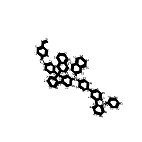 C=Cc1ccc(Oc2ccc(C3(c4ccc5ccccc5c4)c4ccccc4-c4ccc(N(c5ccc(-c6ccc7c(c6)c6ccccc6n7-c6ccccc6)cc5)c5ccc6ccccc6c5)cc43)cc2)cc1